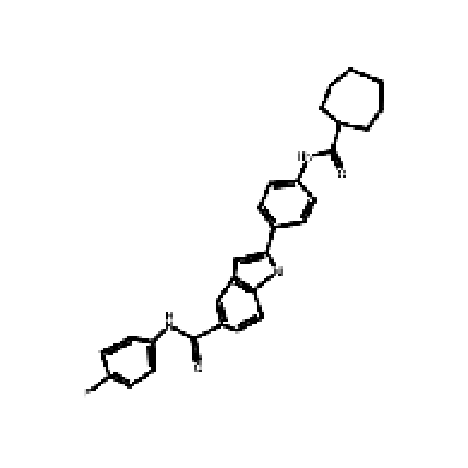 O=C(Nc1ccc(F)cc1)c1ccc2[nH]c(-c3ccc(NC(=O)C4CCCCCC4)cc3)cc2c1